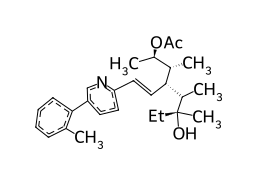 CC[C@@](C)(O)C(C)[C@H](/C=C/c1ccc(-c2ccccc2C)cn1)[C@@H](C)[C@@H](C)OC(C)=O